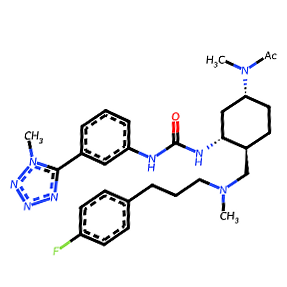 CC(=O)N(C)[C@@H]1CC[C@@H](CN(C)CCCc2ccc(F)cc2)[C@H](NC(=O)Nc2cccc(-c3nnnn3C)c2)C1